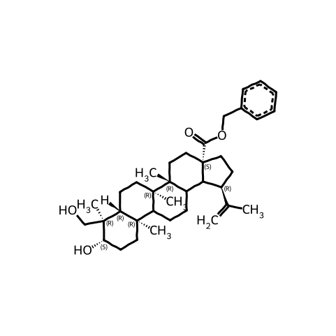 C=C(C)[C@@H]1CC[C@]2(C(=O)OCc3ccccc3)CC[C@]3(C)C(CCC4[C@@]5(C)CC[C@H](O)[C@@](C)(CO)[C@@H]5CC[C@]43C)C12